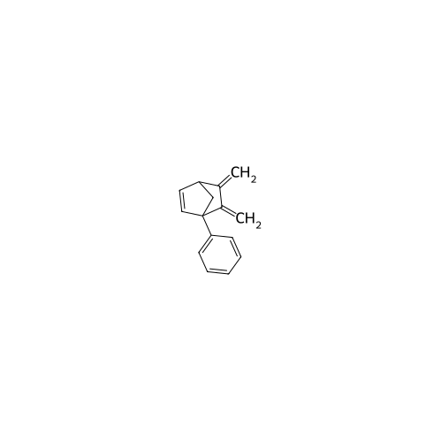 C=C1C(=C)C2(c3ccccc3)C=CC1C2